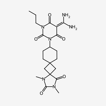 CCCN1C(=O)C(=C(N)N)C(=O)N(C2CCC3(CC2)CC2(C3)C(=O)N(C)C(=O)N2C)C1=O